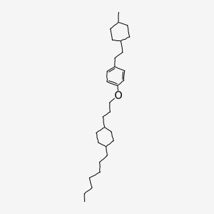 CCCCCCCC1CCC(CCCOc2ccc(CCC3CCC(C)CC3)cc2)CC1